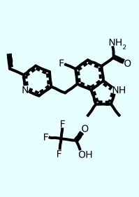 C=Cc1ccc(Cc2c(F)cc(C(N)=O)c3[nH]c(C)c(C)c23)cn1.O=C(O)C(F)(F)F